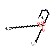 CCCCC/C=C\C/C=C\C/C=C\CCCCCCC(=O)O[C@H](COC(=O)CCCCCCCCCCC)COC(=O)CCCCCCCCCCCCCCCCCCCCC